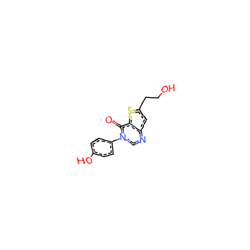 O=c1c2sc(CCO)cc2ncn1-c1ccc(O)cc1